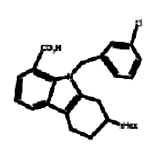 CCCCCCC1CCc2c(n(Cc3cccc(Cl)c3)c3c(C(=O)O)cccc23)C1